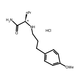 CCC[C@@H](NCCCc1ccc(OC)cc1)C(N)=O.Cl